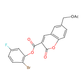 CC(=O)OCc1ccc2oc(=O)c(C(=O)Oc3cc(F)ccc3Br)cc2c1